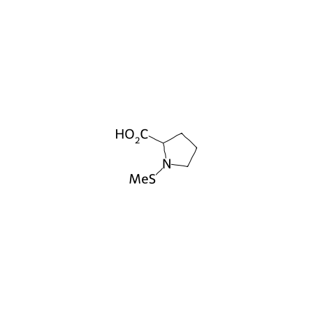 CSN1CCCC1C(=O)O